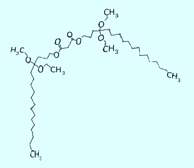 CCCCCCCCCCCCCCC(CCCOC(=O)CC(=O)OCCCC(CCCCCCCCCCCCCC)(OCC)OCC)(OCC)OCC